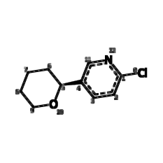 Clc1ccc([C@@H]2CCCCO2)cn1